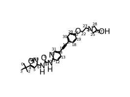 CC(C)(C)c1cc(NC(=O)Nc2ccc(C#Cc3ccc(OCCN4CC(O)C4)cc3)cn2)no1